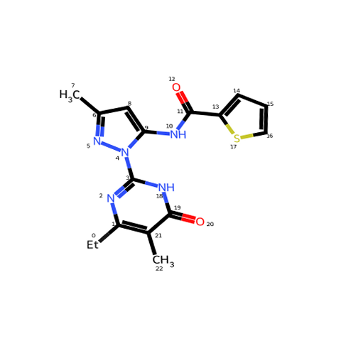 CCc1nc(-n2nc(C)cc2NC(=O)c2cccs2)[nH]c(=O)c1C